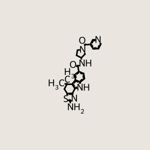 CC1(C)Cc2sc(N)nc2-c2[nH]c3ccc(C(=O)NC4CCN(C(=O)c5cccnc5)C4)cc3c21